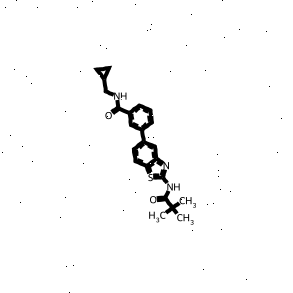 CC(C)(C)C(=O)Nc1nc2cc(-c3cccc(C(=O)NCC4CC4)c3)ccc2s1